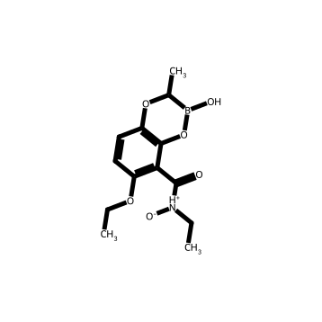 CCOc1ccc2c(c1C(=O)[NH+]([O-])CC)OB(O)C(C)O2